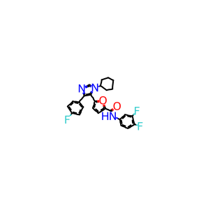 O=C(Nc1ccc(F)c(F)c1)c1ccc(-c2c(-c3ccc(F)cc3)ncn2C2CCCCC2)o1